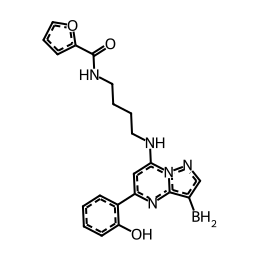 Bc1cnn2c(NCCCCNC(=O)c3ccco3)cc(-c3ccccc3O)nc12